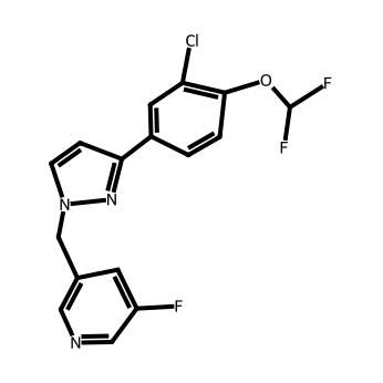 Fc1cncc(Cn2ccc(-c3ccc(OC(F)F)c(Cl)c3)n2)c1